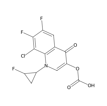 O=C(O)Oc1cn(C2CC2F)c2c(Cl)c(F)c(F)cc2c1=O